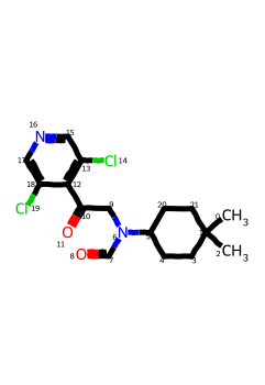 CC1(C)CCC(N(C=O)CC(=O)c2c(Cl)cncc2Cl)CC1